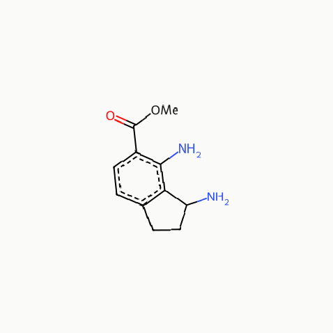 COC(=O)c1ccc2c(c1N)C(N)CC2